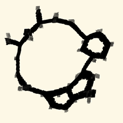 CCC1CCOc2ccc3[nH]nc(c3c2)-c2cccc(c2)COC(=O)N1